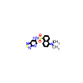 CN(C)c1cccc2c(S(=O)(=O)Nc3cnc4nsnc4c3)cccc12